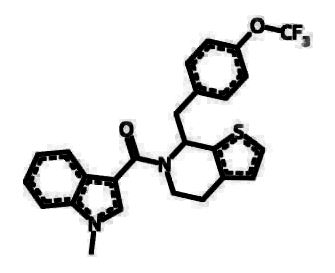 Cn1cc(C(=O)N2CCc3ccsc3C2Cc2ccc(OC(F)(F)F)cc2)c2ccccc21